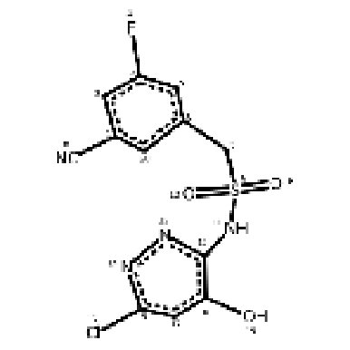 N#Cc1cc(F)cc(CS(=O)(=O)Nc2nnc(Cl)cc2O)c1